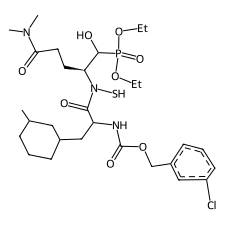 CCOP(=O)(OCC)C(O)[C@H](CCC(=O)N(C)C)N(S)C(=O)C(CC1CCCC(C)C1)NC(=O)OCc1cccc(Cl)c1